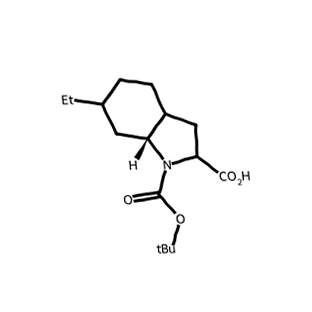 CCC1CCC2CC(C(=O)O)N(C(=O)OC(C)(C)C)[C@@H]2C1